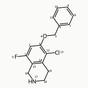 Fc1cc(OCc2ccccc2)c(Cl)c2c1CNCC2